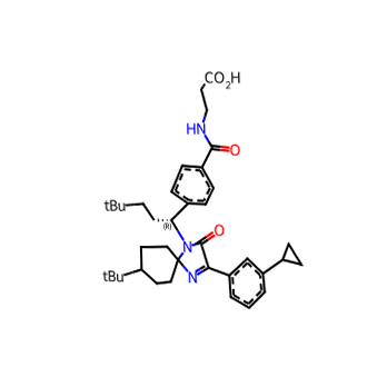 CC(C)(C)CC[C@H](c1ccc(C(=O)NCCC(=O)O)cc1)N1C(=O)C(c2cccc(C3CC3)c2)=NC12CCC(C(C)(C)C)CC2